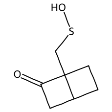 O=C1CC2CCC12CSO